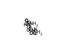 CCOc1cccc(C(=O)OC(=O)C[C@@H](N)NS(=O)(=O)c2ccccc2)c1N(C)C(N)=NC